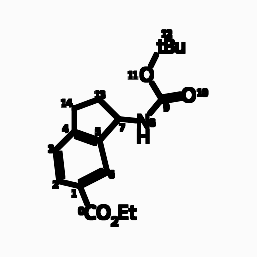 CCOC(=O)c1ccc2c(c1)C(NC(=O)OC(C)(C)C)CC2